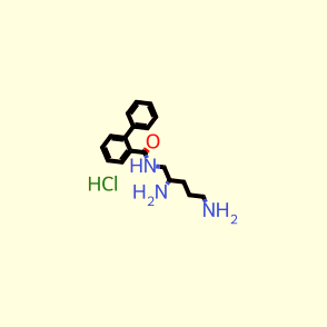 Cl.NCCCC(N)CNC(=O)c1ccccc1-c1ccccc1